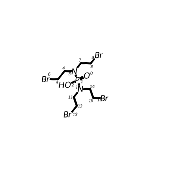 O=P(O)(N(CCBr)CCBr)N(CCBr)CCBr